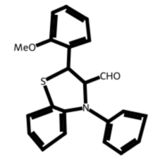 COc1ccccc1C1Sc2ccccc2N(c2ccccc2)C1C=O